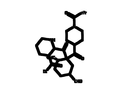 CCCC(=O)N1CCC(C(=O)C2(C(=O)C3NCCCC3C(=O)CC)CC(C=O)CCN2[C]=O)CC1